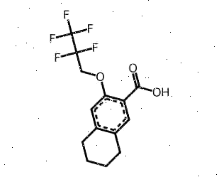 O=C(O)c1cc2c(cc1OCC(F)(F)C(F)(F)F)CCCC2